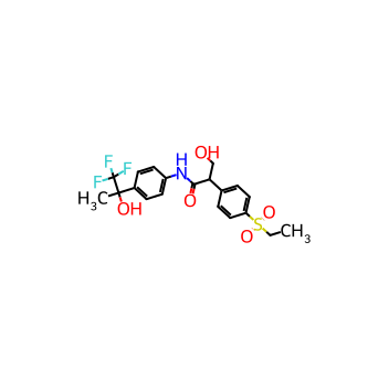 CCS(=O)(=O)c1ccc(C(CO)C(=O)Nc2ccc(C(C)(O)C(F)(F)F)cc2)cc1